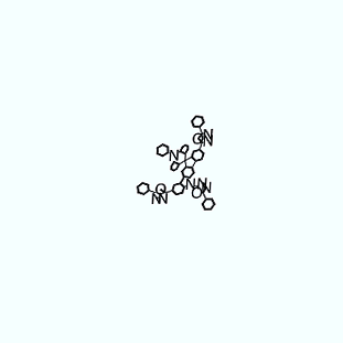 c1ccc(-c2nnc(-c3ccc4c(c3)C3(c5cc6c7cc(-c8nnc(-c9ccccc9)o8)ccc7n(-c7nnc(-c8ccccc8)o7)c6cc5-4)c4ccccc4N(c4ccccc4)c4ccccc43)o2)cc1